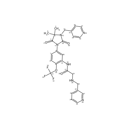 CC1(C)C(=O)N(c2ccc(OC(F)(F)F)c(NC(=O)CNCc3cccnc3)c2)C(=O)N1Cc1ccncc1